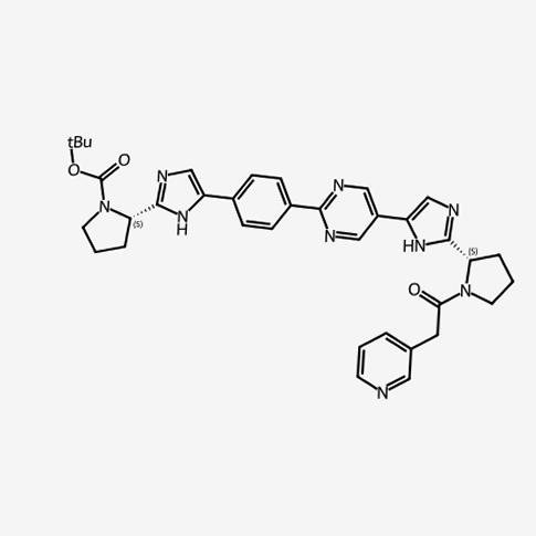 CC(C)(C)OC(=O)N1CCC[C@H]1c1ncc(-c2ccc(-c3ncc(-c4cnc([C@@H]5CCCN5C(=O)Cc5cccnc5)[nH]4)cn3)cc2)[nH]1